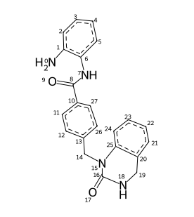 Nc1ccccc1NC(=O)c1ccc(CN2C(=O)NCc3ccccc32)cc1